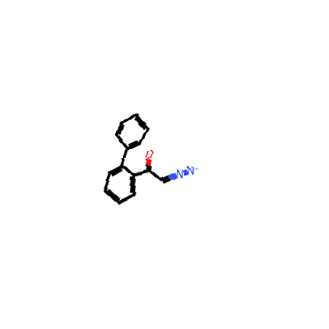 [N-]=[N+]=CC(=O)c1ccccc1-c1ccccc1